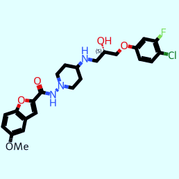 COc1ccc2oc(C(=O)NN3CCC(NC[C@H](O)COc4ccc(Cl)c(F)c4)CC3)cc2c1